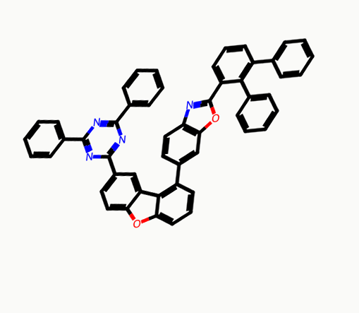 c1ccc(-c2nc(-c3ccccc3)nc(-c3ccc4oc5cccc(-c6ccc7nc(-c8cccc(-c9ccccc9)c8-c8ccccc8)oc7c6)c5c4c3)n2)cc1